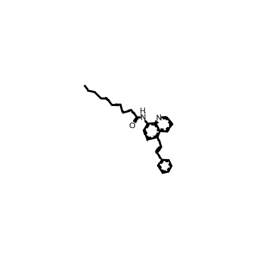 CCCCCCCCCC(=O)Nc1ccc(C=Cc2ccccc2)c2cccnc12